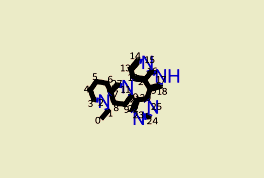 CCN1CCCCC12CCCN(c1ccnc3[nH]cc(-c4ccncn4)c13)C2